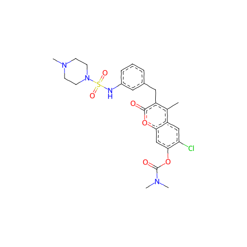 Cc1c(Cc2cccc(NS(=O)(=O)N3CCN(C)CC3)c2)c(=O)oc2cc(OC(=O)N(C)C)c(Cl)cc12